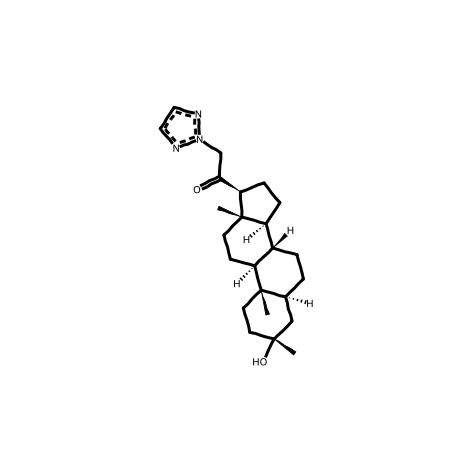 C[C@@]1(O)CC[C@@]2(C)[C@@H](CC[C@@H]3[C@@H]2CC[C@]2(C)[C@@H](C(=O)Cn4nccn4)CC[C@@H]32)C1